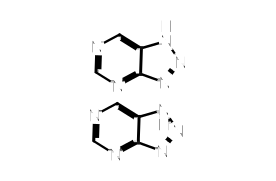 c1ncc2[nH]nnc2n1.c1ncc2[nH]nnc2n1